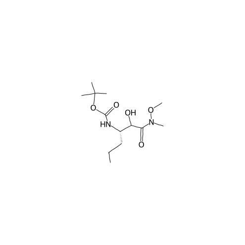 CCC[C@H](NC(=O)OC(C)(C)C)C(O)C(=O)N(C)OC